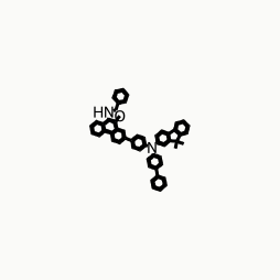 CC1(C)c2ccccc2-c2ccc(N(c3ccc(-c4ccccc4)cc3)c3ccc(-c4ccc5c(c4)c4c(c6ccccc65)NC(c5ccccc5)O4)cc3)cc21